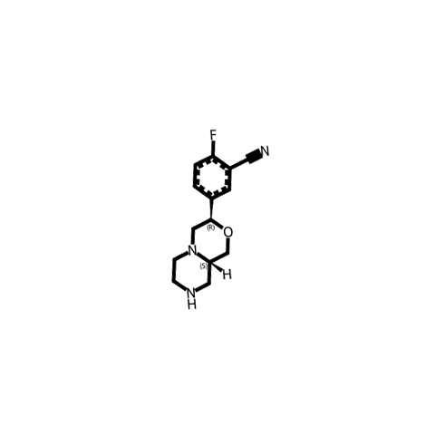 N#Cc1cc([C@@H]2CN3CCNC[C@H]3CO2)ccc1F